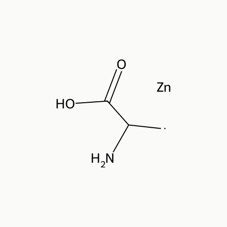 [CH2]C(N)C(=O)O.[Zn]